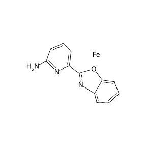 Nc1cccc(-c2nc3ccccc3o2)n1.[Fe]